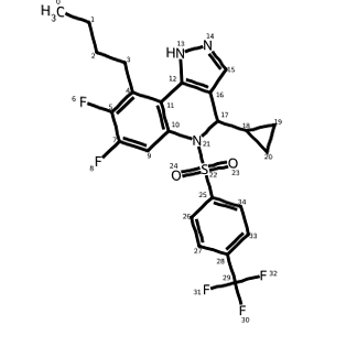 CCCCc1c(F)c(F)cc2c1-c1[nH]ncc1C(C1CC1)N2S(=O)(=O)c1ccc(C(F)(F)F)cc1